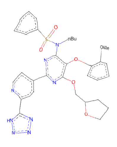 CCCCN(c1nc(-c2ccnc(-c3nnn[nH]3)c2)nc(OCC2CCCO2)c1Oc1ccccc1OC)S(=O)(=O)c1ccccc1